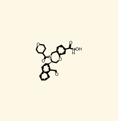 O=Cc1c([C@@H]2COc3cc(C(=O)NO)ccc3CN2C(=O)C2CCOCC2)ccc2ccccc12